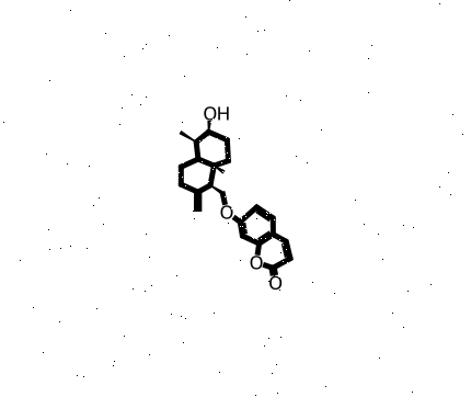 C=C1CCC2[C@@H](C)[C@@H](O)CC[C@]2(C)[C@H]1COc1ccc2ccc(=O)oc2c1